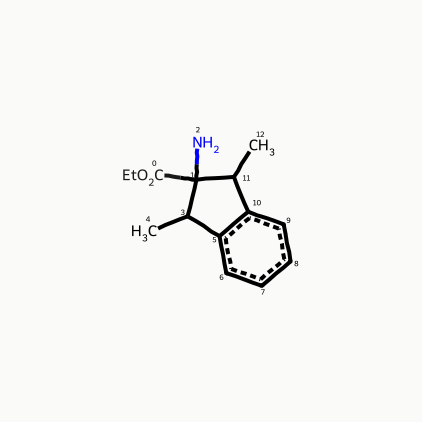 CCOC(=O)C1(N)C(C)c2ccccc2C1C